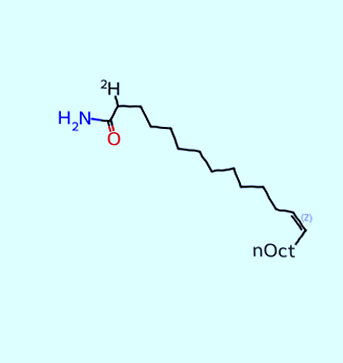 [2H]C(CCCCCCCCCC/C=C\CCCCCCCC)C(N)=O